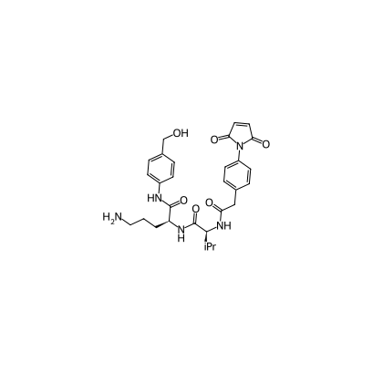 CC(C)[C@H](NC(=O)Cc1ccc(N2C(=O)C=CC2=O)cc1)C(=O)N[C@@H](CCCN)C(=O)Nc1ccc(CO)cc1